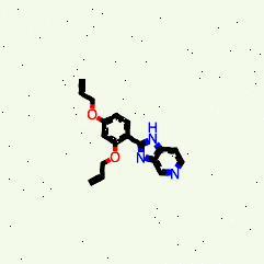 C=CCOc1ccc(-c2nc3cnccc3[nH]2)c(OCC=C)c1